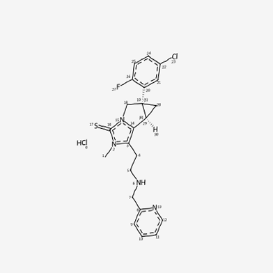 Cl.Cn1c(CCNCc2ccccn2)c2n(c1=S)C[C@@]1(c3cc(Cl)ccc3F)C[C@@H]21